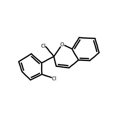 Clc1ccccc1C1(Cl)C=Cc2ccccc2O1